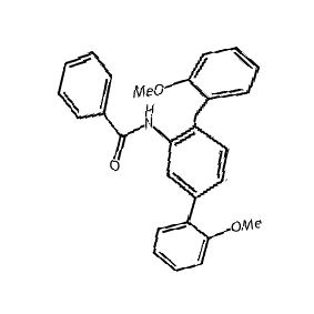 COc1ccccc1-c1[c]cc(-c2ccccc2OC)c(NC(=O)c2ccccc2)c1